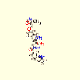 Cc1ncoc1COc1ccc2c(c1)CN[C@H]([C@H](O)CNC(=O)c1cccc(NC3CCC3)c1)C2